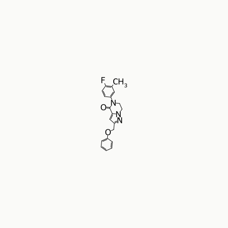 Cc1cc(N2CCn3nc(COc4ccccc4)cc3C2=O)ccc1F